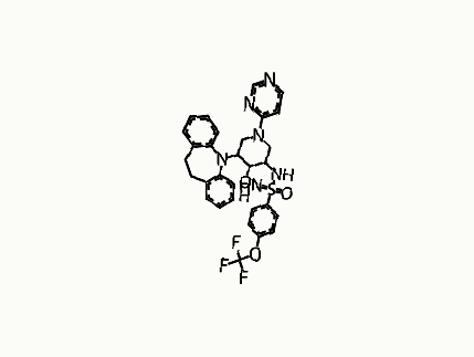 N=S(=O)(NC1CN(c2ccncn2)CC(N2c3ccccc3CCc3ccccc32)C1O)c1ccc(OC(F)(F)F)cc1